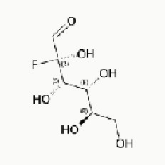 O=C[C@](O)(F)[C@@H](O)[C@H](O)[C@H](O)CO